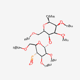 CCCCOCC1O[C@@H](OC)[C@@H](OCCCC)C(OCCCC)[C@H]1O[C@H]1OC(COCCCC)[C@@H](P=O)[C@H](OCCCC)C1OCCCC